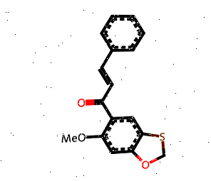 COc1cc2c(cc1C(=O)C=Cc1ccccc1)SCO2